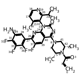 C=CC(=O)N1[C@H](C)CN(c2nc(=O)n(-c3c(C)ccnc3C(C)C)c3nc(-c4cc(N)c(F)c(F)c4F)c(F)cc23)C[C@@H]1C